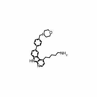 NCCCCCc1ccnc2[nH]c3ccc(-c4ccc(CN5CCOCC5)cc4)cc3c12